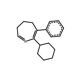 C1=NC(C2CCCCC2)=C(c2ccccc2)CCC1